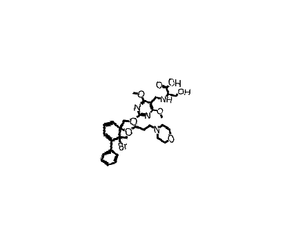 COc1nc(OCC2(OCCCN3CCOCC3)C=CC=C(c3ccccc3)C2(C)Br)nc(OC)c1CNC(CO)C(=O)O